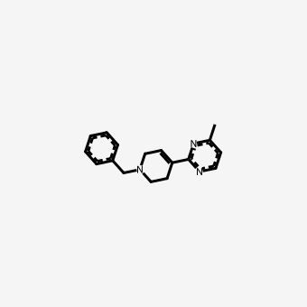 Cc1ccnc(C2=CCN(Cc3ccccc3)CC2)n1